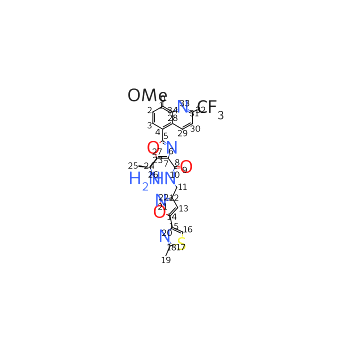 COc1ccc(-c2nc(C(=O)NCc3cc(-c4csc(C)n4)on3)c([C@H](C)N)o2)c2ccc(C(F)(F)F)nc12